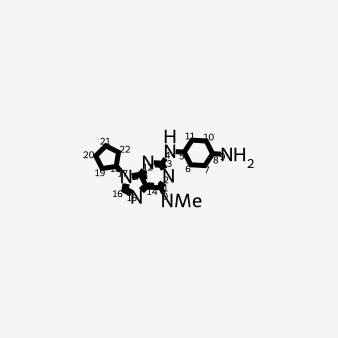 CNc1nc(NC2CCC(N)CC2)nc2c1ncn2C1CCCC1